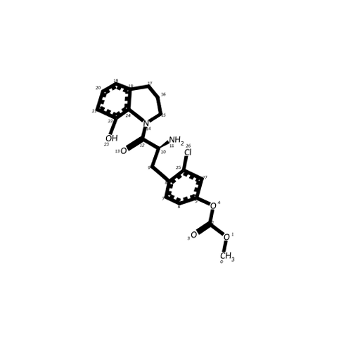 COC(=O)Oc1ccc(C[C@H](N)C(=O)N2CCCc3cccc(O)c32)c(Cl)c1